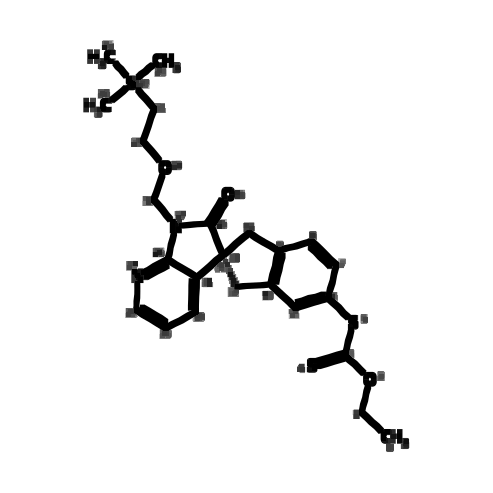 CCOC(=S)Sc1ccc2c(c1)C[C@@]1(C2)C(=O)N(COCC[Si](C)(C)C)c2ncccc21